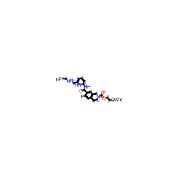 CCC/C=N/N=C/C1=CC=CC(NC(=O)c2cc3c(cc2F)CCN(C(=O)OCCOC)C3)N1